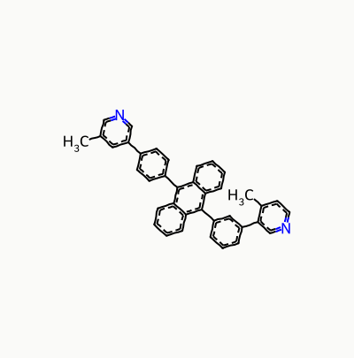 Cc1cncc(-c2ccc(-c3c4ccccc4c(-c4cccc(-c5cnccc5C)c4)c4ccccc34)cc2)c1